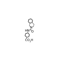 O=C(O)c1ccc(NC(=O)N2CCc3ccccc3C2)cc1